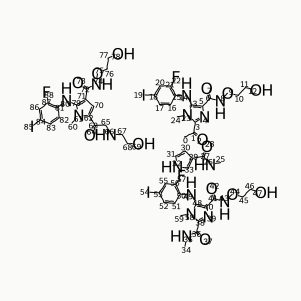 CC(=O)c1nc(C(=O)NOCCO)c(Nc2ccc(I)cc2F)n1C.CNC(=O)c1cc[nH]c1.CNC(=O)c1nc(C(=O)NOCCO)c(Nc2ccc(I)cc2F)n1C.Cn1c(C(=O)CNCCO)cc(C(=O)NOCCO)c1Nc1ccc(I)cc1F